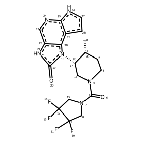 C[C@@H]1CCN(C(=O)N2CC(F)(F)C(F)(F)C2)C[C@@H]1n1c(=O)[nH]c2cnc3[nH]ccc3c21